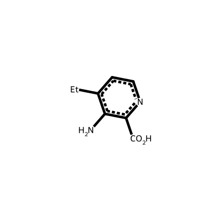 CCc1ccnc(C(=O)O)c1N